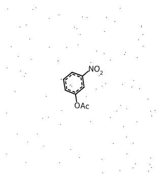 CC(=O)Oc1c[c]cc([N+](=O)[O-])c1